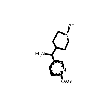 COc1ccc(C(N)C2CCN(C(C)=O)CC2)cn1